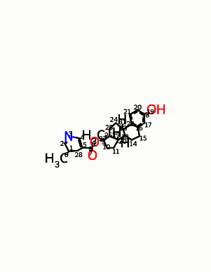 CC1C=NC=C(C(=O)O[C@H]2CC[C@H]3[C@@H]4CCc5cc(O)ccc5[C@H]4CC[C@]23C)C1